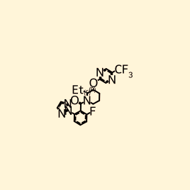 CC[C@H]1[C@H](Oc2cnc(C(F)(F)F)cn2)CCCN1C(=O)c1c(F)cccc1-n1nccn1